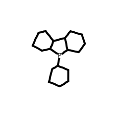 C1CCC(P2C3CCCCC3C3CCCCC32)CC1